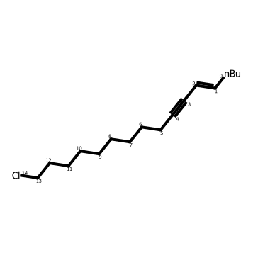 CCCCC=CC#CCCCCCCCCCCl